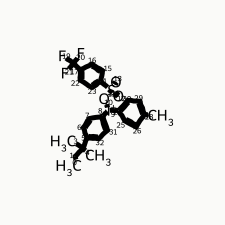 CCC(C)(C)c1ccc([I+](OS(=O)(=O)c2ccc(C(F)(F)F)cc2)c2ccc(C)cc2)cc1